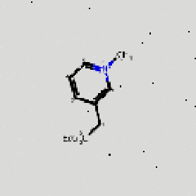 CCOC(=O)Cc1ccc[n+](C)c1